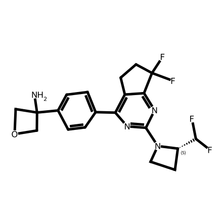 NC1(c2ccc(-c3nc(N4CC[C@H]4C(F)F)nc4c3CCC4(F)F)cc2)COC1